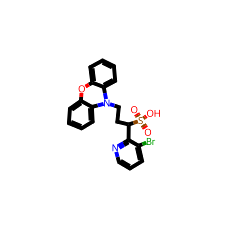 O=S(=O)(O)C(CCN1c2ccccc2Oc2ccccc21)c1ncccc1Br